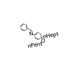 CCCCCCCC1(OCCCCC)C=CC(N=Cc2ccccc2)=CC1